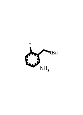 CC(C)(C)Cc1ccccc1F.N